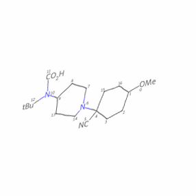 COC1CCC(C#N)(N2CCC(N(C(=O)O)C(C)(C)C)CC2)CC1